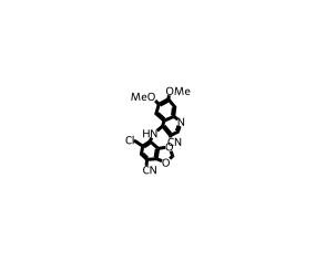 COc1cc2ncc(C#N)c(Nc3c(Cl)cc(C#N)c4c3OCO4)c2cc1OC